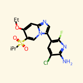 CCOc1cc2ncc(-c3cc(Cl)c(N)nc3F)n2cc1S(=O)(=O)C(C)C